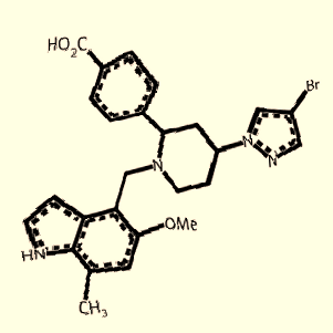 COc1cc(C)c2[nH]ccc2c1CN1CCC(n2cc(Br)cn2)CC1c1ccc(C(=O)O)cc1